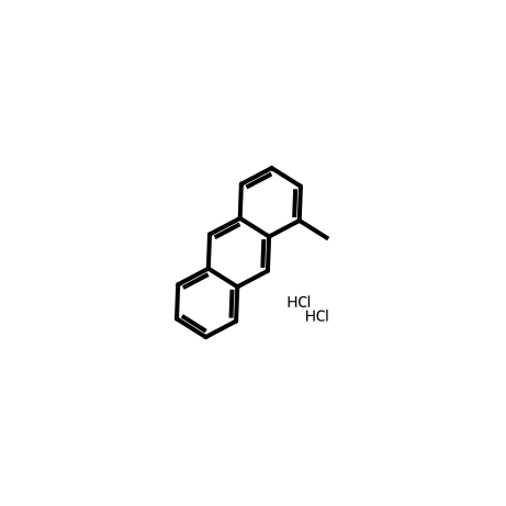 Cc1cccc2cc3ccccc3cc12.Cl.Cl